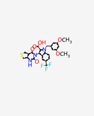 COc1cc(Cn2c(C(=O)O)c(-n3c(=O)[nH]c4cscc4c3=O)c3cc(C(F)(F)F)ccc32)cc(OC)c1